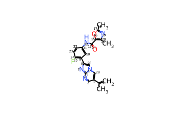 C=C(C)c1cnc2nc(-c3cc(NC(=O)c4oc(C)nc4C)ccc3F)cn2c1